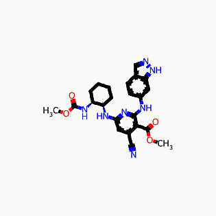 COC(=O)N[C@H]1CCCC[C@H]1Nc1cc(C#N)c(C(=O)OC)c(Nc2ccc3cn[nH]c3c2)n1